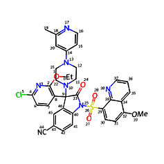 CCOc1nc(Cl)ccc1C1(N2CCN(c3ccnc(C)c3)CC2)C(=O)N(S(=O)(=O)c2ccc(OC)c3cccnc23)c2ccc(C#N)cc21